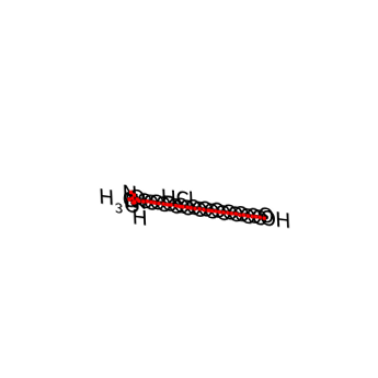 CN1C(=O)C[C@H](C(=O)NCCOCCOCCOCCOCCOCCOCCOCCOCCOCCOCCOCCOCCOCCOCCOCCOCCOCCOCCOCCOCCC(=O)O)[C@H]1c1cccnc1.Cl